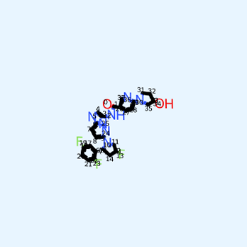 O=C(Nc1cnc2ccc(N3C[C@@H](F)C[C@@H]3c3cc(F)ccc3F)nn12)c1ccc(N2CC[C@H](O)C2)nc1